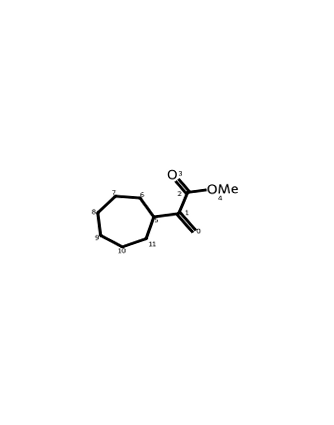 C=C(C(=O)OC)C1CCCCCC1